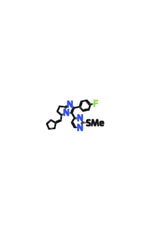 CSc1nccc(-c2c(-c3ccc(F)cc3)nc3n2C(C=C2CCCC2)CC3)n1